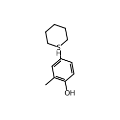 Cc1cc([SH]2CCCCC2)ccc1O